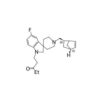 CCC(=O)CCN1CC2(CCN(C[C@@H]3C[C@H]4C=CC3C4)CC2)c2cc(F)ccc21